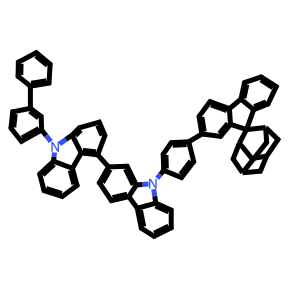 c1ccc(-c2cccc(-n3c4ccccc4c4c(-c5ccc6c7ccccc7n(-c7ccc(-c8ccc9c(c8)C8(c%10ccccc%10-9)C9CC%10CC(C9)CC8C%10)cc7)c6c5)cccc43)c2)cc1